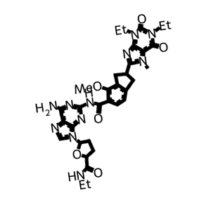 CCNC(=O)C1CCC(n2cnc3c(N)nc(NC(=O)c4ccc5c(c4OC)CC(c4nc6c(c(=O)n(CC)c(=O)n6CC)n4C)C5)nc32)O1